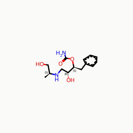 C[C@@H](CO)NC[C@@H](O)[C@H](Cc1ccccc1)OC(N)=O